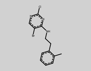 Cc1ccccc1CCNc1nc(Cl)ncc1Br